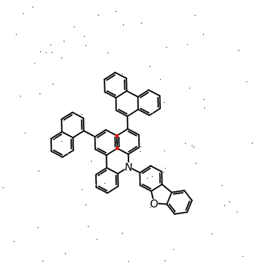 c1cc(-c2ccccc2N(c2ccc(-c3cc4ccccc4c4ccccc34)cc2)c2ccc3c(c2)oc2ccccc23)cc(-c2cccc3ccccc23)c1